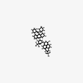 Cc1cc(-c2cc(-c3c4ccccc4c(N(c4ccccc4)c4ccccc4)c4ccccc34)cc(C(C)(C)C)c2)c2ccc3cc(C(C)(C)C)cc4ccc1c2c43